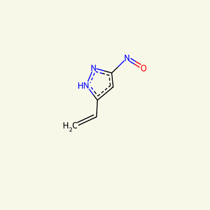 C=Cc1cc(N=O)n[nH]1